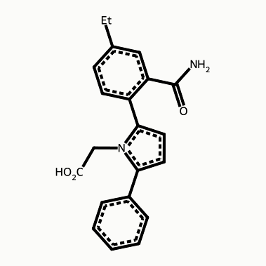 CCc1ccc(-c2ccc(-c3ccccc3)n2CC(=O)O)c(C(N)=O)c1